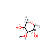 COC1C(O)[C@H](I)OC(C)[C@@H]1O